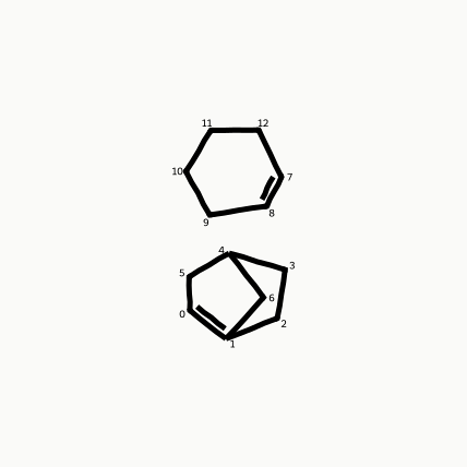 C1=C2CCC(C1)C2.C1=CCCCC1